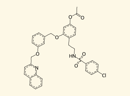 CC(=O)Oc1ccc(CCNS(=O)(=O)c2ccc(Cl)cc2)c(OCc2cccc(OCc3ccc4ccccc4n3)c2)c1